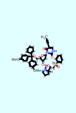 CC#Cc1c[nH]c(=O)n([C@H]2C[C@H](O[P@]3O[C@H](CS(=O)(=O)c4ccccc4)[C@@H]4CCCN43)[C@@H](COC(c3ccccc3)(c3ccc(OC)cc3)c3ccc(OC)cc3)O2)c1=O